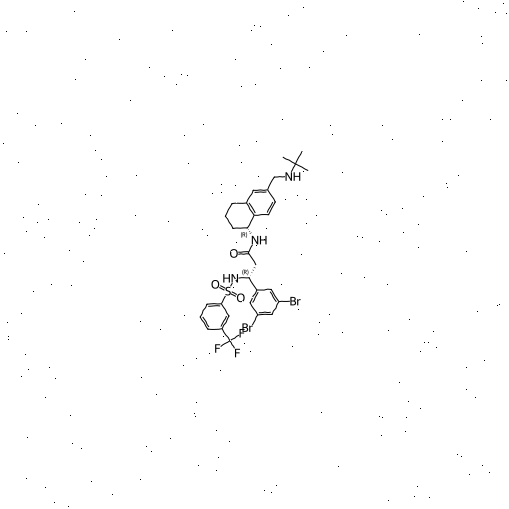 CC(C)(C)NCc1ccc2c(c1)CCC[C@H]2NC(=O)C[C@@H](NS(=O)(=O)c1cccc(C(F)(F)F)c1)c1cc(Br)cc(Br)c1